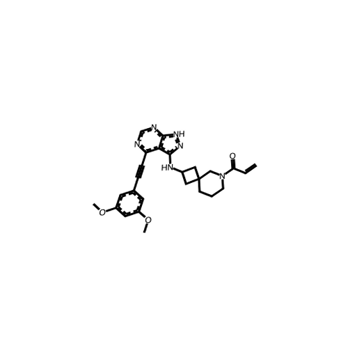 C=CC(=O)N1CCCC2(CC(Nc3n[nH]c4ncnc(C#Cc5cc(OC)cc(OC)c5)c34)C2)C1